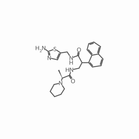 C[C@@H](C(=O)NCC(C(=O)NCc1cnc(N)s1)c1cccc2ccccc12)N1CCCCC1